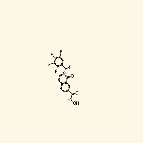 O=C(NO)c1ccc2ccn(C(F)c3cc(F)c(F)c(F)c3F)c(=O)c2c1